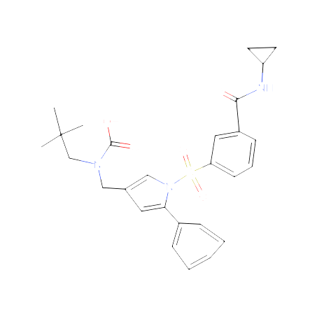 CC(C)(C)CN(Cc1cc(-c2ccccc2)n(S(=O)(=O)c2cccc(C(=O)NC3CC3)c2)c1)C(=O)O